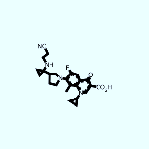 Cc1c(N2CCC(C3(NCCC#N)CC3)C2)c(F)cc2c(=O)c(C(=O)O)cn(C3CC3)c12